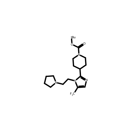 CC(C)(C)OC(=O)N1CCC(c2ncc(C(F)(F)F)n2CCN2CCCC2)CC1